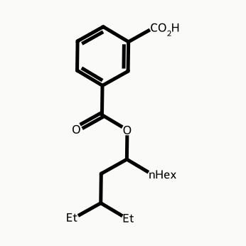 CCCCCCC(CC(CC)CC)OC(=O)c1cccc(C(=O)O)c1